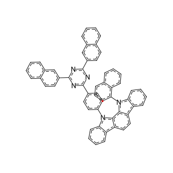 c1ccc2cc(-c3nc(-c4ccc(-n5c6ccccc6c6ccc7c8ccccc8n(-c8cccc9ccccc89)c7c65)cc4)nc(-c4ccc5ccccc5c4)n3)ccc2c1